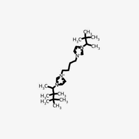 CC(n1cc[n+](CCCC[n+]2ccn(C(C)C(C)(C)C(C)(C)C)c2)c1)C(C)(C)C